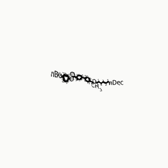 CCCCCCCCCCCCCCCCOC(C)c1ccc(-c2ccc(C(=O)Oc3ccc(CCCC)cc3)cc2)cc1